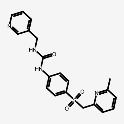 Cc1cccc(CS(=O)(=O)c2ccc(NC(=O)NCc3cccnc3)cc2)n1